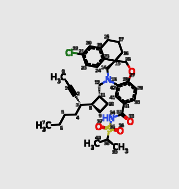 CC#C[C@@H](CCCC)[C@@H]1CC[C@H]1CN1C[C@@]2(CCCc3cc(Cl)ccc32)COc2ccc(C(=O)NS(=O)(=O)C(C)C)cc21